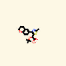 Cc1nc(-c2ccc3c(c2)CCCO3)c(C(OC(C)(C)C)C(=O)O)s1